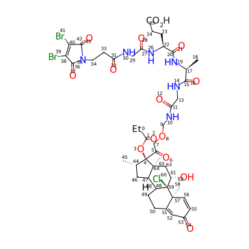 CCC(=O)O[C@]1(C(=O)COCNC(=O)CNC(=O)[C@H](C)NC(=O)[C@H](CCC(=O)O)NC(=O)CNC(=O)CCN2C(=O)C(Br)=C(Br)C2=O)[C@@H](C)CC2[C@@H]3CCC4=CC(=O)C=C[C@]4(C)[C@@]3(Cl)[C@@H](O)C[C@@]21C